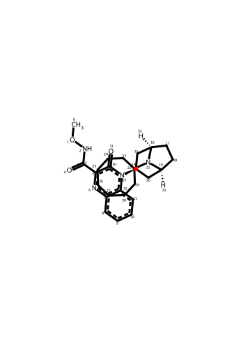 CONC(=O)c1nc2ccccc2n([C@H]2C[C@H]3CC[C@@H](C2)N3C2CCCCCCC2)c1=O